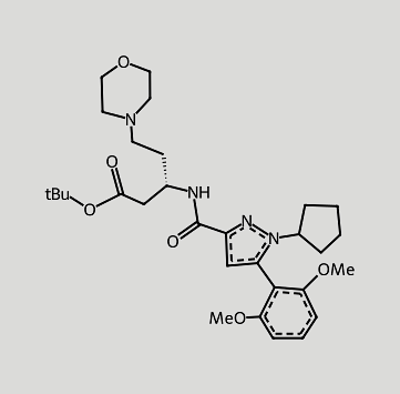 COc1cccc(OC)c1-c1cc(C(=O)N[C@@H](CCN2CCOCC2)CC(=O)OC(C)(C)C)nn1C1CCCC1